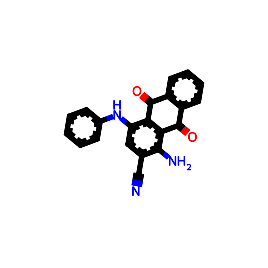 N#Cc1cc(Nc2ccccc2)c2c(c1N)C(=O)c1ccccc1C2=O